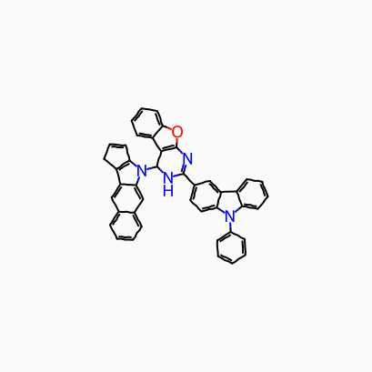 C1=Cc2c(c3cc4ccccc4cc3n2C2NC(c3ccc4c(c3)c3ccccc3n4-c3ccccc3)=Nc3oc4ccccc4c32)C1